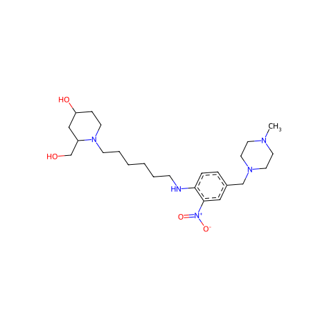 CN1CCN(Cc2ccc(NCCCCCCN3CCC(O)CC3CO)c([N+](=O)[O-])c2)CC1